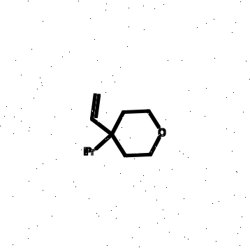 C=CC1(C(C)C)CCOCC1